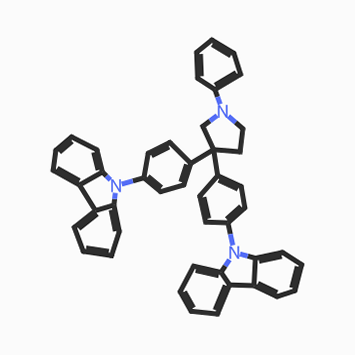 c1ccc(N2CCC(c3ccc(-n4c5ccccc5c5ccccc54)cc3)(c3ccc(-n4c5ccccc5c5ccccc54)cc3)C2)cc1